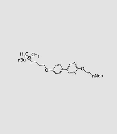 CCCCCCCCCC=COc1ncc(-c2ccc(OCCCC[Si](C)(C)CCCC)cc2)cn1